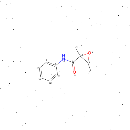 CC1OC1(C)C(=O)Nc1ccccc1